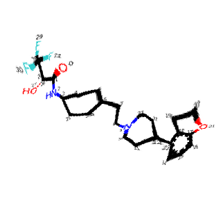 O=C(NC1CCC(CCN2CCC(c3cccc4c3CCO4)CC2)CC1)[C@H](O)C(F)(F)F